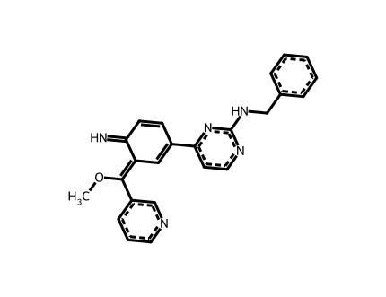 CO/C(=C1/C=C(c2ccnc(NCc3ccccc3)n2)C=CC1=N)c1cccnc1